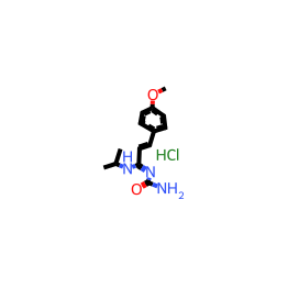 COc1ccc(C=CC(=NC(N)=O)NC(C)C)cc1.Cl